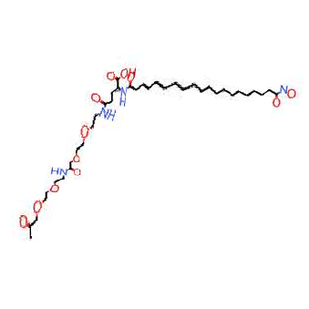 CC(=O)COCCOCCNC(=O)COCCOCCNC(=O)CC[C@H](NC(=O)CCCCCCCCCCCCCCCCCCC(=O)N=O)C(=O)O